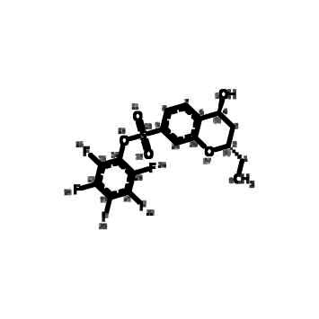 CC[C@H]1C[C@H](O)c2ccc(S(=O)(=O)Oc3c(F)c(F)c(F)c(F)c3F)cc2O1